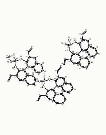 C=Cc1cc2ccccc2c2c1OP(=O)([O-])Oc1c(C=C)cc3ccccc3c1-2.C=Cc1cc2ccccc2c2c1OP(=O)([O-])Oc1c(C=C)cc3ccccc3c1-2.C=Cc1cc2ccccc2c2c1OP(=O)([O-])Oc1c(C=C)cc3ccccc3c1-2.[Gd+3]